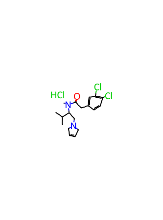 CC(C)C(CN1CC=CC1)N(C)C(=O)Cc1ccc(Cl)c(Cl)c1.Cl